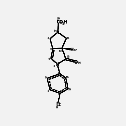 CCc1ccc(N2C=C3CN(C(=O)O)C[C@@H]3C2=O)cc1